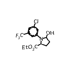 CCOC(=O)C1CCC(O)N1c1cc(Cl)cc(C(F)(F)F)c1